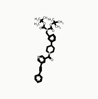 CC(C)(C)OC(=O)N(Cc1cccc(C2CCN(C(=O)c3cncc(C#Cc4ccccc4)c3)CC2)c1)C(=O)OC(C)(C)C